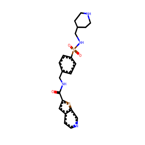 O=C(NCc1ccc(S(=O)(=O)NCC2CCNCC2)cc1)c1cc2ccncc2s1